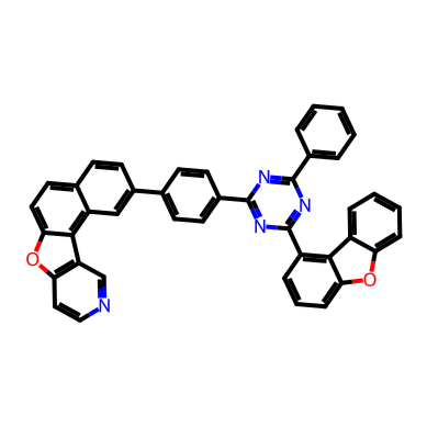 c1ccc(-c2nc(-c3ccc(-c4ccc5ccc6oc7ccncc7c6c5c4)cc3)nc(-c3cccc4oc5ccccc5c34)n2)cc1